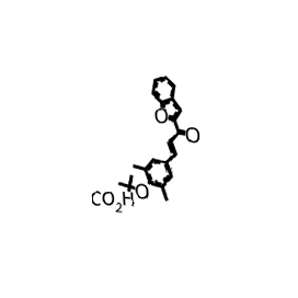 Cc1cc(C=CC(=O)c2cc3ccccc3o2)cc(C)c1OC(C)(C)C(=O)O